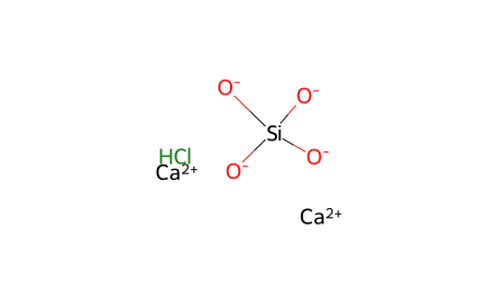 Cl.[Ca+2].[Ca+2].[O-][Si]([O-])([O-])[O-]